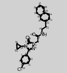 O=C(Cn1nc(-c2ccc(Cl)cc2)n(C2CC2)c1=O)NCCc1ccc2ccccc2c1